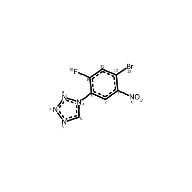 O=[N+]([O-])c1cc(-n2cnnn2)c(F)cc1Br